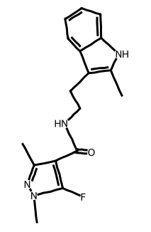 Cc1nn(C)c(F)c1C(=O)NCCc1c(C)[nH]c2ccccc12